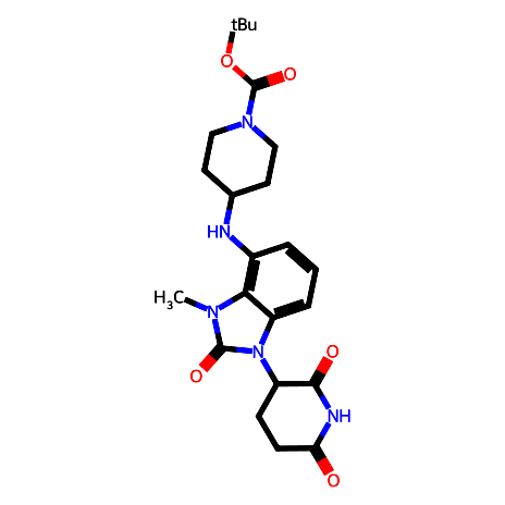 Cn1c(=O)n(C2CCC(=O)NC2=O)c2cccc(NC3CCN(C(=O)OC(C)(C)C)CC3)c21